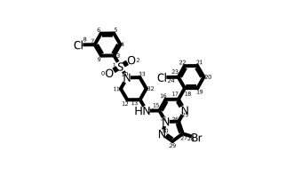 O=S(=O)(c1cccc(Cl)c1)N1CCC(Nc2cc(-c3ccccc3Cl)nc3c(Br)cnn23)CC1